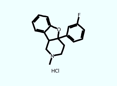 CN1CCC2(c3cccc(F)c3)Oc3ccccc3C2C1.Cl